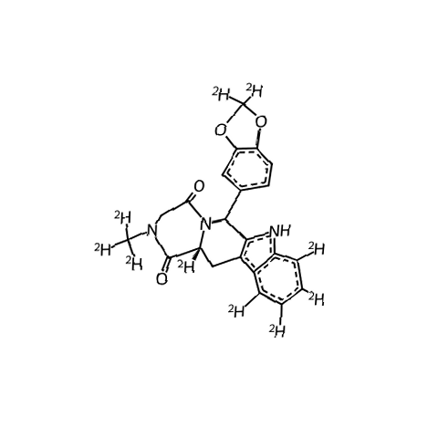 [2H]c1c([2H])c([2H])c2c3c([nH]c2c1[2H])C(c1ccc2c(c1)OC([2H])([2H])O2)N1C(=O)CN(C([2H])([2H])[2H])C(=O)[C@@]1([2H])C3